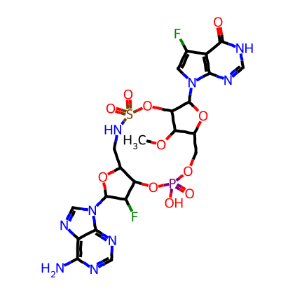 COC1C2COP(=O)(O)OC3C(CNS(=O)(=O)OC1C(n1cc(F)c4c(=O)[nH]cnc41)O2)OC(n1cnc2c(N)ncnc21)C3F